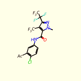 CC(=O)c1cc(NC(=O)c2c(C(F)(F)F)c(C(F)(F)C(F)(F)F)nn2C)ccc1Cl